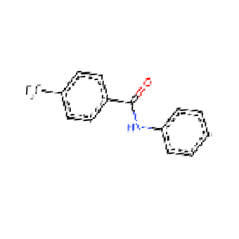 O=C(Nc1cc[c]cc1)c1ccc(C(F)(F)F)cc1